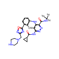 [2H]C([2H])([2H])NC(=O)c1nnc(NC(=O)C2CC2)cc1Nc1cccc(-c2nc(CN3CCNCC3)no2)c1OC